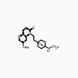 COc1cnc2ccc(=O)n(CCC34CCC(NC(=O)O)(CC3)CO4)c2c1